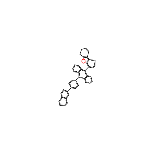 C1=Cc2c(oc3c(-c4c5ccccc5c(-c5ccc(-c6ccc7ccccc7c6)cc5)c5ccccc45)cccc23)CC1